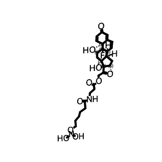 C[C@H]1C[C@H]2[C@@H]3CCC4=CC(=O)C=C[C@]4(C)[C@@]3(F)[C@@H](O)C[C@]2(C)[C@@]1(O)C(=O)COC(=O)CCNC(=O)CCCCCON(O)O